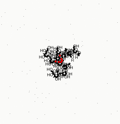 CC(=O)NC1C(O)[C@H](O[C@@H]2OC(CO[C@]3(OC=O)C[C@@H](O)[C@@H](C)C([C@H](O)C(O)CO)O3)[C@H](O)[C@H](O)C2O)[C@H](CO)O[C@H]1OC1[C@@H](OCC2O[C@@H](O[C@@H]3C(CO)O[C@@H](O[C@@H]4C(CO)O[C@@H](C)C(NC(C)=O)[C@H]4O)C(NC(C)=O)[C@H]3O)C(O)[C@@H](O[C@H]3OC(CO)[C@@H](O)C(O)C3O[C@@H]3OC(CO)[C@@H](O[C@@H]4OC(CO[C@]5(OC=O)C[C@@H](O)[C@@H](C)C([C@H](O)C(O)CO)O5)[C@H](O)[C@H](O)C4O)[C@H](O)C3NC(C)=O)[C@@H]2O)OC(CO)[C@@H](O)[C@@H]1O